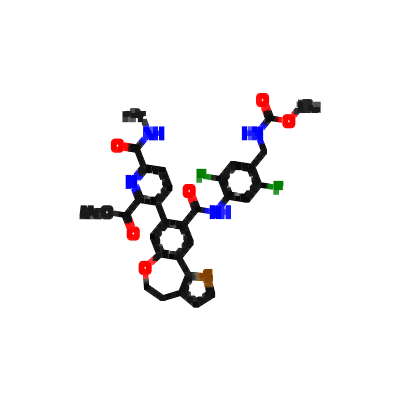 CCCNC(=O)c1ccc(-c2cc3c(cc2C(=O)Nc2cc(F)c(CNC(=O)OC(C)(C)C)cc2F)-c2sccc2CCO3)c(C(=O)OC)n1